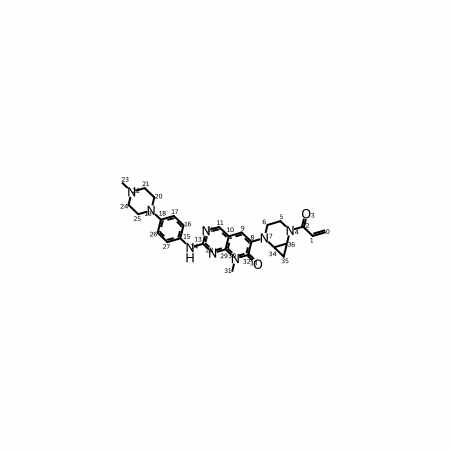 C=CC(=O)N1CCN(c2cc3cnc(Nc4ccc(N5CCN(C)CC5)cc4)nc3n(C)c2=O)C2CC21